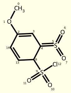 COC1=CC(=S(=O)=O)C(S(=O)(=O)Cl)C=C1